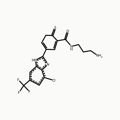 NCCCNC(=O)C1=CC(c2nc3c(Cl)cc(C(F)(F)F)cc3[nH]2)=CCC1=S